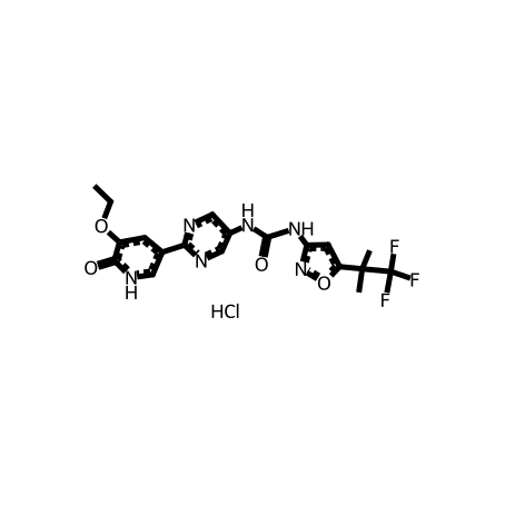 CCOc1cc(-c2ncc(NC(=O)Nc3cc(C(C)(C)C(F)(F)F)on3)cn2)c[nH]c1=O.Cl